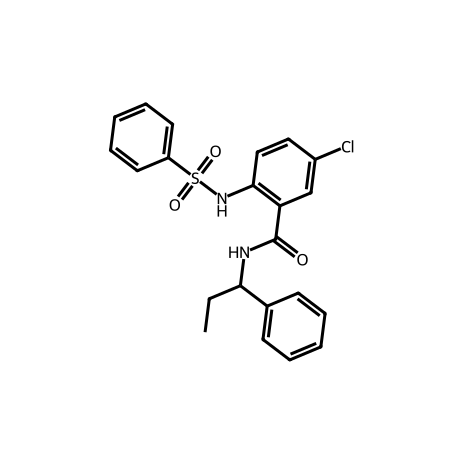 CCC(NC(=O)c1cc(Cl)ccc1NS(=O)(=O)c1ccccc1)c1ccccc1